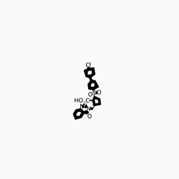 O=C(O)[C@@H]1[C@@H](Cn2nnc3ccccc3c2=O)CC[C@H]1S(=O)(=O)c1ccc(-c2ccc(Cl)cc2)cc1